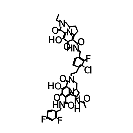 CCN1CC2CCc3c(C(=O)NCc4ccc(CCN5CC6C[C@H](NC(C)=O)c7c(C(=O)NCc8ccc(F)cc8F)c(=O)c(O)c(n76)C5=O)c(Cl)c4F)c(=O)c(O)c(n32)C1=O